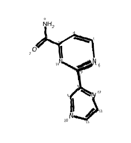 NC(=O)c1ccnc(-c2cnccn2)n1